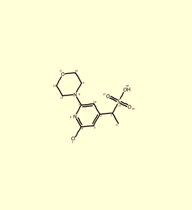 CC(c1cc(Cl)nc(N2CCOCC2)c1)S(=O)(=O)O